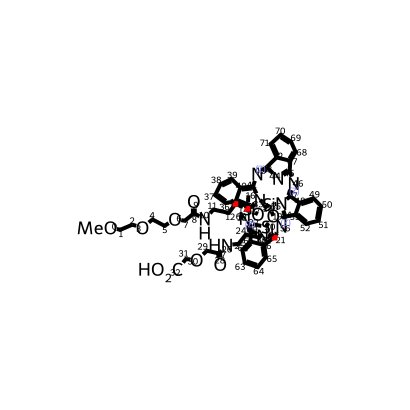 COCCOCCOCC(=O)NCCC[Si](C)(C)O[Si]1(O[Si](C)(C)CCCNC(=O)COCC(=O)O)n2c3c4ccccc4c2/N=C2N=C(/N=c4/c5ccccc5/c(n41)=N/C1=NC(=N\3)/c3ccccc31)c1ccccc1\2